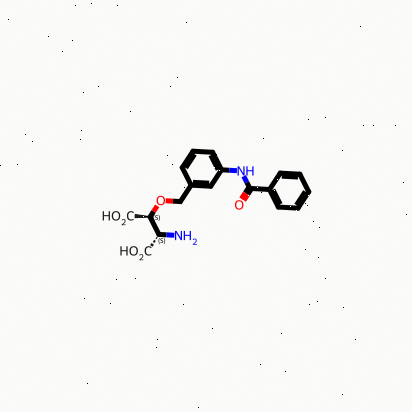 N[C@H](C(=O)O)[C@H](OCc1cccc(NC(=O)c2ccccc2)c1)C(=O)O